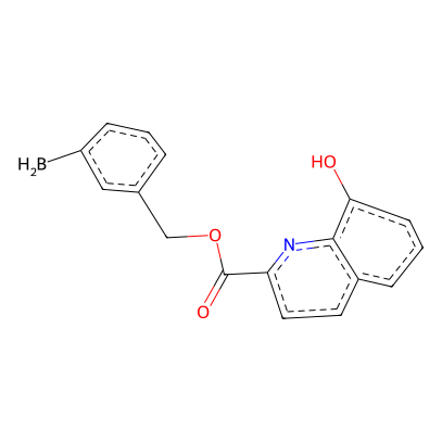 Bc1cccc(COC(=O)c2ccc3cccc(O)c3n2)c1